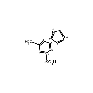 Cc1cccc(S(=O)(=O)O)c1.c1ccncc1